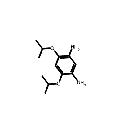 CC(C)Oc1cc(OC(C)C)c(N)cc1N